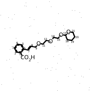 O=C(O)c1ccccc1/C=C/COCCOCCOC1CCCCO1